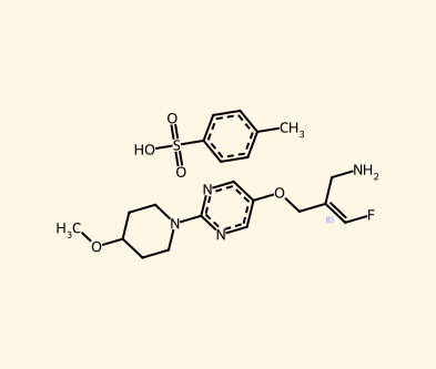 COC1CCN(c2ncc(OC/C(=C/F)CN)cn2)CC1.Cc1ccc(S(=O)(=O)O)cc1